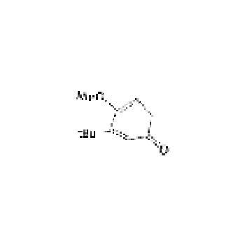 COC1=CCC(=O)C=C1C(C)(C)C